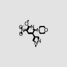 COc1nc(N2CCOCC2)c(-c2cnn(C)c2)cc1[N+](=O)[O-]